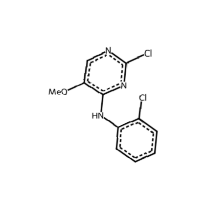 COc1cnc(Cl)nc1Nc1ccccc1Cl